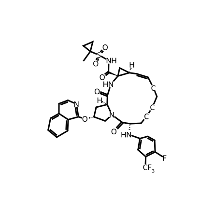 CC1(S(=O)(=O)NC(=O)[C@@]23C[C@H]2/C=C\CCCCC[C@H](Nc2ccc(F)c(C(F)(F)F)c2)C(=O)N2C[C@H](Oc4nccc5ccccc45)C[C@H]2C(=O)N3)CC1